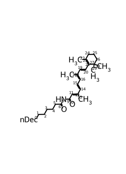 CCCCCCCCCCCCCCCC(=O)NC(=O)C=C(C)C=CC=C(C)C=CC1=C(C)CCCC1(C)C